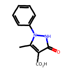 Cc1c(C(=O)O)c(=O)[nH]n1-c1ccccc1